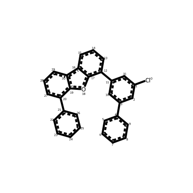 Clc1cc(-c2ccccc2)cc(-c2cccc3c2oc2c(-c4ccccc4)cccc23)c1